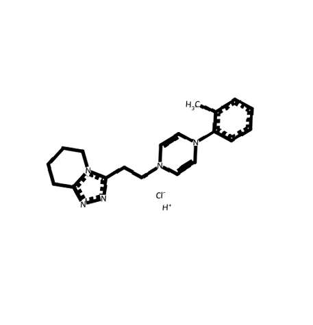 Cc1ccccc1N1C=CN(CCc2nnc3n2CCCC3)C=C1.[Cl-].[H+]